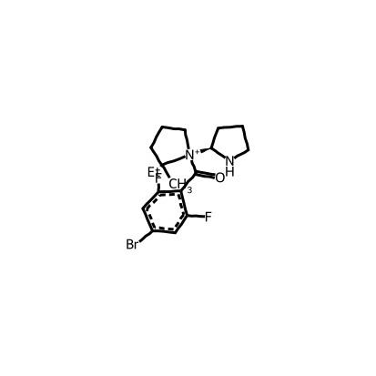 CC[C@]1(C)CCC[N+]1(C(=O)c1c(F)cc(Br)cc1F)[C@H]1CCCN1